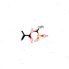 C=C(C)C(=O)OC(CCC)P(=O)=O